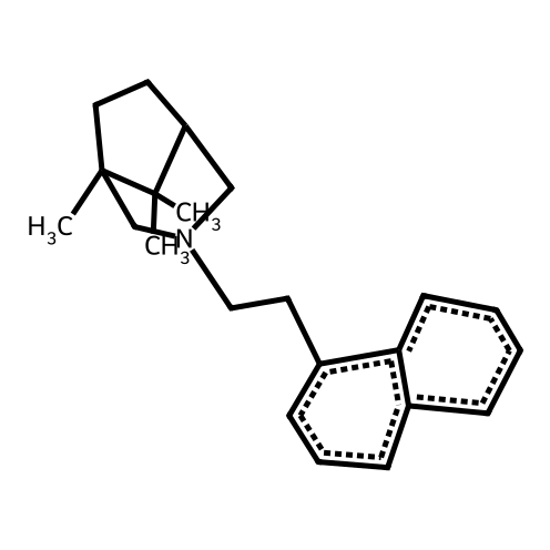 CC12CCC(CN(CCc3cccc4ccccc34)C1)C2(C)C